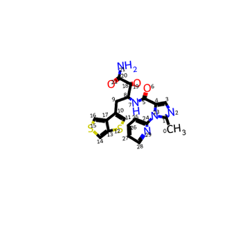 Cc1ncc(C(=O)NC(Cc2csc3cscc23)C(=O)C(N)=O)n1-c1ccccn1